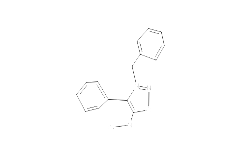 O=N[N-]c1on[n+](Cc2ccccc2)c1-c1ccccc1